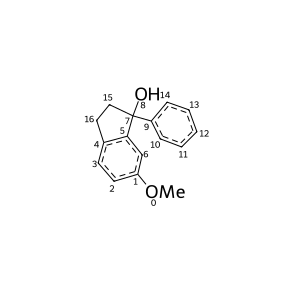 COc1ccc2c(c1)C(O)(c1ccccc1)CC2